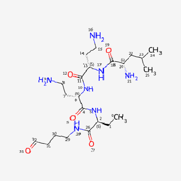 CC[C@H](NC(=O)[C@H](CCN)NC(=O)[C@H](CCN)NC(=O)[C@@H](N)CC(C)C)C(=O)NCCCC=O